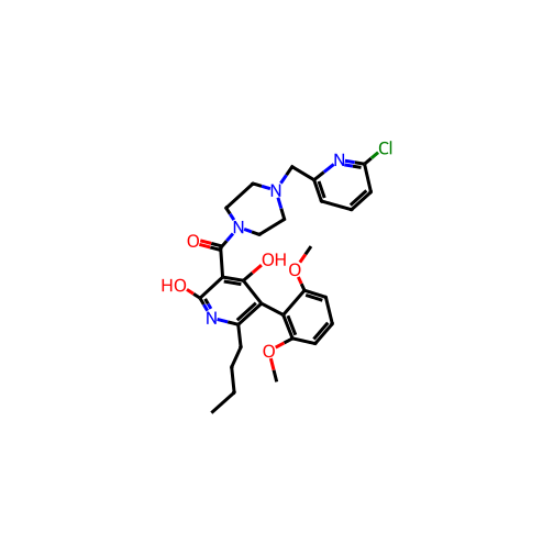 CCCCc1nc(O)c(C(=O)N2CCN(Cc3cccc(Cl)n3)CC2)c(O)c1-c1c(OC)cccc1OC